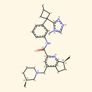 CC1CC(c2cccc(NC(=O)c3cc(CN4CCC[C@H](C)C4)c4c(n3)[C@@H](C)CC4)c2)(c2nncn2C)C1